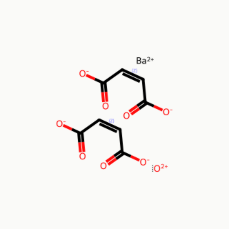 O=C([O-])/C=C\C(=O)[O-].O=C([O-])/C=C\C(=O)[O-].[Ba+2].[O+2]